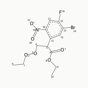 CCOOCC(C(=O)OCC)c1cc(Br)c(F)cc1[N+](=O)[O-]